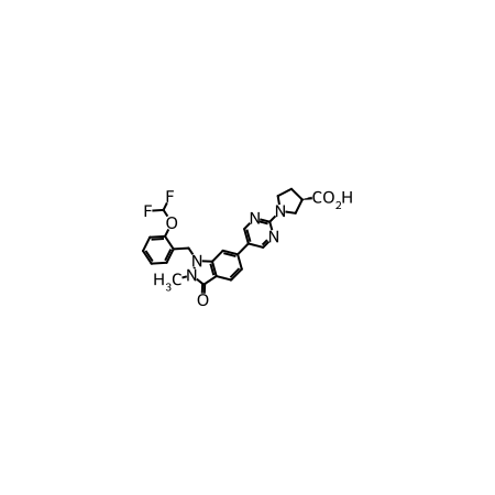 Cn1c(=O)c2ccc(-c3cnc(N4CC[C@@H](C(=O)O)C4)nc3)cc2n1Cc1ccccc1OC(F)F